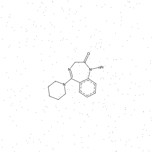 CCCN1C(=O)CN=C(N2CCCCC2)c2ccccc21